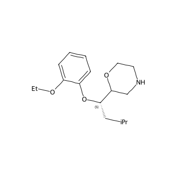 CCOc1ccccc1O[C@@H](CC(C)C)C1CNCCO1